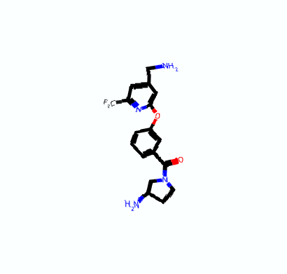 NCc1cc(Oc2cccc(C(=O)N3CCC(N)C3)c2)nc(C(F)(F)F)c1